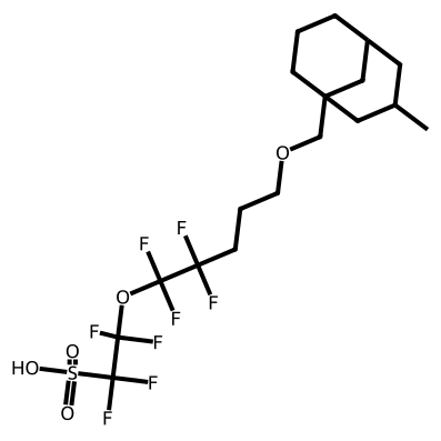 CC1CC2CCCC(COCCCC(F)(F)C(F)(F)OC(F)(F)C(F)(F)S(=O)(=O)O)(C1)C2